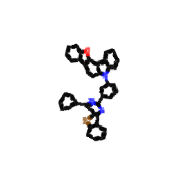 c1ccc(-c2nc(-c3cccc(-n4c5ccccc5c5c6oc7ccccc7c6ccc54)c3)nc3c2sc2ccccc23)cc1